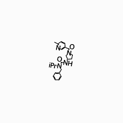 Cc1ccc(C(=O)N2CC[C@@H](NC(=O)N(Cc3ccccc3)C(C)C)C2)cn1